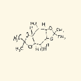 CC1(C)O[C@@H]2[C@@H](O)[C@@H]3OC(C)(C)O[C@@H]3[C@@H](O)[C@H]2O1